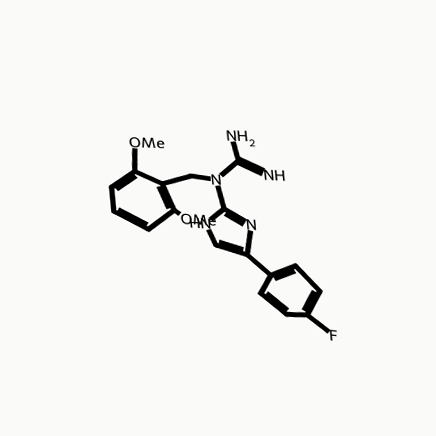 COc1cccc(OC)c1CN(C(=N)N)c1nc(-c2ccc(F)cc2)c[nH]1